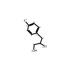 CCC(CO)Cc1ccc(F)cc1